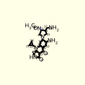 CO/N=C1\CN(c2cc3c(cc2N)c(=O)c2c(=O)[nH]sc2n3C2CC2)CC1CN